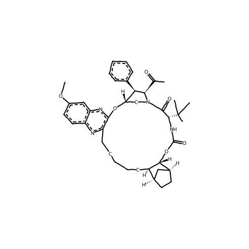 COc1ccc2nc3c(nc2c1)O[C@H]1CN(C(=O)[C@H](C(C)(C)C)NC(=O)O[C@@H]2[C@H]4CC[C@H](C4)[C@H]2CCCCC3)[C@H](C(C)=O)[C@@H]1c1ccccc1